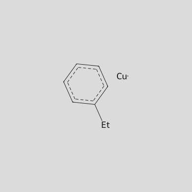 [CH2]Cc1ccccc1.[Cu]